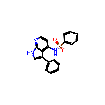 O=S(=O)(Nc1ccnc2[nH]cc(-c3ccccc3)c12)c1ccccc1